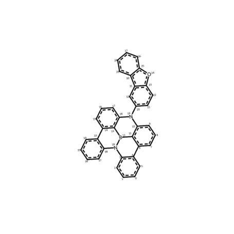 c1ccc2c(c1)-c1cccc3c1B1c4c(cccc4N3c3ccc4oc5ccccc5c4c3)-c3ccccc3N12